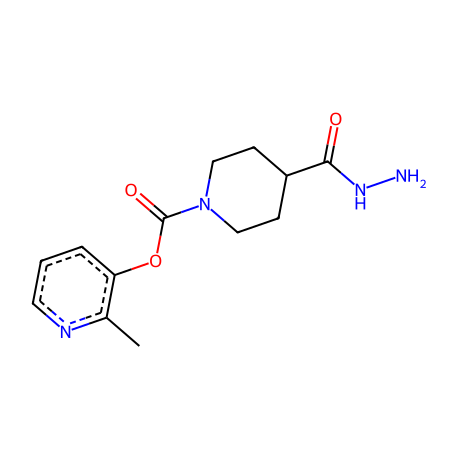 Cc1ncccc1OC(=O)N1CCC(C(=O)NN)CC1